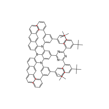 CC(C)(C)c1cc(-c2nc(-c3cc(C(C)(C)C)cc(C(C)(C)C)c3)nc(-c3cc4c5c(c3)N(c3cc(-c6ccccc6)cc(-c6ccccc6)c3)c3c(ccc6cc7ccccc7cc36)B5c3ccc5cc6ccccc6cc5c3N4c3cc(-c4ccccc4)cc(-c4ccccc4)c3)n2)cc(C(C)(C)C)c1